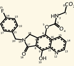 O=C(O)CNC(=O)Oc1c2c(c(O)c3ncccc13)C(=O)N(Cc1ccc(F)cc1)C2